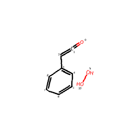 O=C=Cc1ccccc1.OO